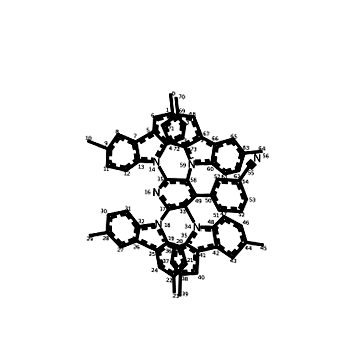 Cc1ccc2c(c1)c1cc(C)ccc1n2-c1nc(-n2c3ccc(C)cc3c3cc(C)ccc32)c(-n2c3ccc(C)cc3c3cc(C)ccc32)c(-c2cccc(C#N)c2)c1-n1c2ccc(C)cc2c2cc(C)ccc21